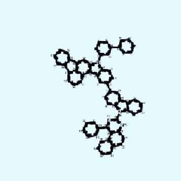 c1ccc(-c2cccc(-n3c4ccc(-c5ccc6c(c5)c5ccccc5n6-c5nc(-c6ccccc6)c6c(ccc7ccccc76)n5)cc4c4c5cccc6c5c(cc43)-c3ccccc3-6)c2)cc1